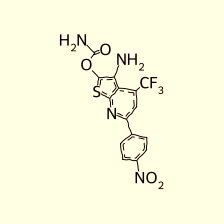 NC(=O)Oc1sc2nc(-c3ccc([N+](=O)[O-])cc3)cc(C(F)(F)F)c2c1N